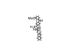 COc1cccc(Nc2ccc(C(C)C(=O)NC3CCN(Cc4ccccc4)CC3)cc2)c1